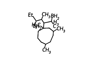 BC(C)C(C(C)C(B)CC)C1(C)CCCC(C)CCC(C)C1